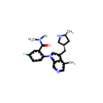 Cc1cncc2c1c(C[C@H]1CN[C@@H](C)C1)cn2-c1ccc(F)cc1C(=O)N(C)C(C)C